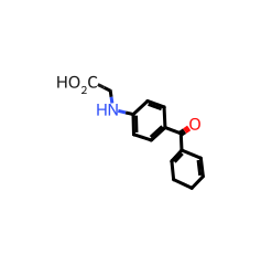 O=C(O)CNc1ccc(C(=O)C2=CCCC=C2)cc1